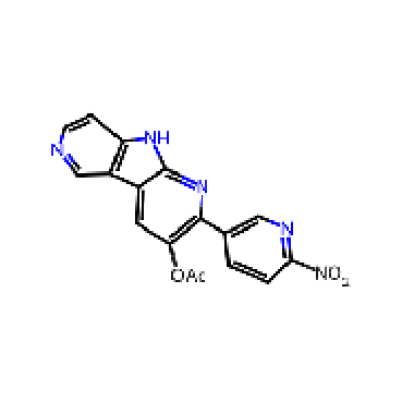 CC(=O)Oc1cc2c(nc1-c1ccc([N+](=O)[O-])nc1)[nH]c1ccncc12